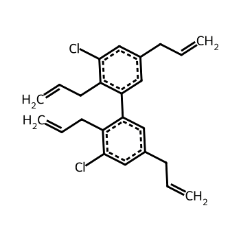 C=CCc1cc(Cl)c(CC=C)c(-c2cc(CC=C)cc(Cl)c2CC=C)c1